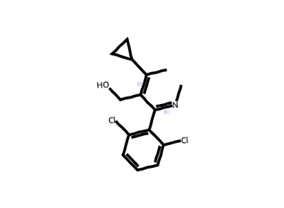 C/N=C(\C(CO)=C(/C)C1CC1)c1c(Cl)cccc1Cl